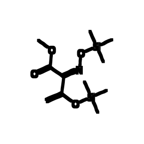 C=C(O[Si](C)(C)C)C(=NO[Si](C)(C)C)C(=O)OC